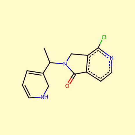 CC(C1=CC=CNC1)N1Cc2c(ccnc2Cl)C1=O